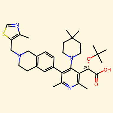 Cc1ncsc1CN1CCc2cc(-c3c(C)nc(C)c([C@H](OC(C)(C)C)C(=O)O)c3N3CCC(C)(C)CC3)ccc2C1